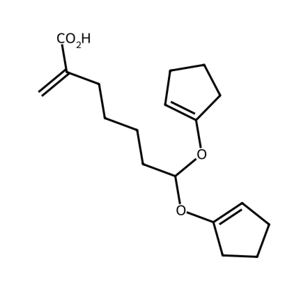 C=C(CCCCC(OC1=CCCC1)OC1=CCCC1)C(=O)O